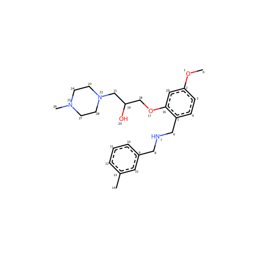 COc1ccc(CNCc2cccc(C)c2)c(OCC(O)CN2CCN(C)CC2)c1